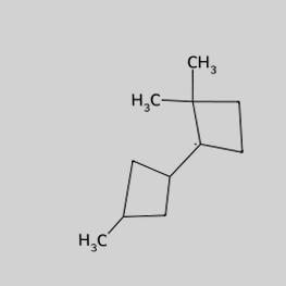 CC1CC([C]2CCC2(C)C)C1